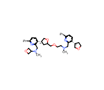 CC(C)c1ccc([C@@H]2CCOC2)c(CN(C)CCOCC2C[C@H](c3ccc(C(C)C)nc3CN(C)C3COC3)CO2)n1